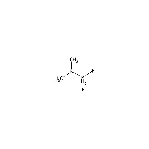 CN(C)[PH2](F)F